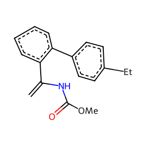 C=C(NC(=O)OC)c1ccccc1-c1ccc(CC)cc1